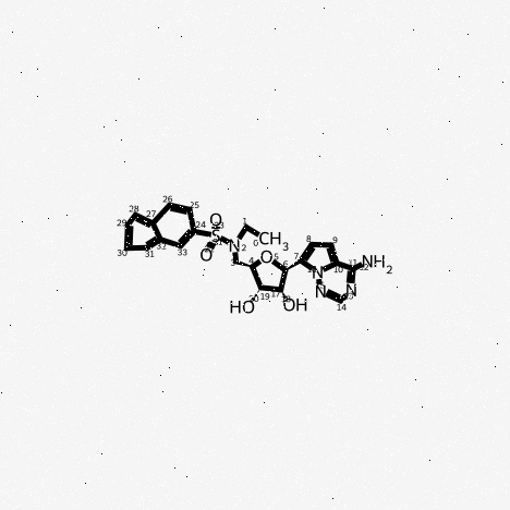 CCN(C[C@H]1O[C@@H](c2ccc3c(N)ncnn23)[C@H](O)[C@@H]1O)S(=O)(=O)c1ccc2ccccc2c1